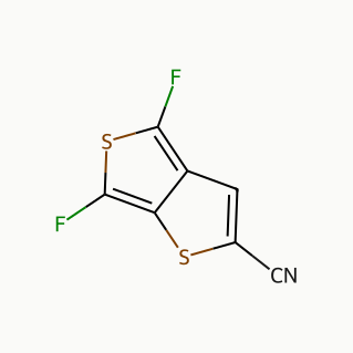 N#Cc1cc2c(F)sc(F)c2s1